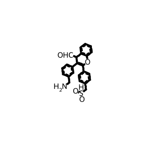 NCc1cccc(C2=C(c3ccc(C[SH](=O)=O)cc3)Oc3ccccc3C2C=O)c1